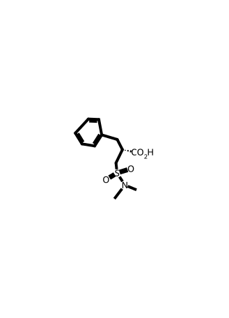 CN(C)S(=O)(=O)C[C@H](Cc1ccccc1)C(=O)O